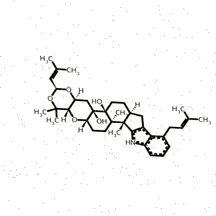 CC(C)=CCc1cccc2[nH]c3c(c12)C[C@@H]1CC[C@]2(O)[C@](C)(CC[C@@H]4O[C@H]5[C@H](C[C@@]42O)O[C@H](C=C(C)C)OC5(C)C)[C@@]31C